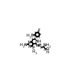 Bc1cc(F)ccc1[C@H]1Cc2nc(N)nc(C)c2/C(=N/OC[C@H](N)CO)N1